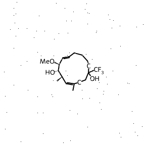 CO[C@H]1/C=C/CCCCC(O)(C(F)(F)F)CC/C(C)=C\[C@@H](C)[C@@H]1O